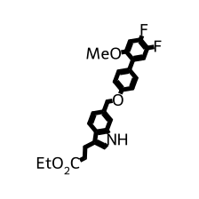 CCOC(=O)CCc1c[nH]c2cc(COc3ccc(-c4cc(F)c(F)cc4OC)cc3)ccc12